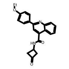 CCOc1ccc(-c2cc(C(=O)NC3CC(=O)C3)c3ccccc3n2)cc1